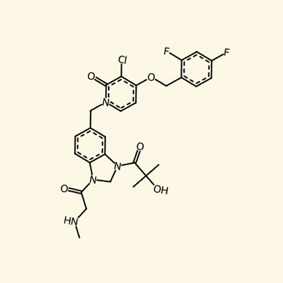 CNCC(=O)N1CN(C(=O)C(C)(C)O)c2cc(Cn3ccc(OCc4ccc(F)cc4F)c(Cl)c3=O)ccc21